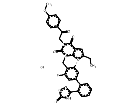 CCc1cc2c(=O)n(CC(=O)c3ccc(OC)cc3)c(=O)n(Cc3c(F)cc(-c4ccccc4-c4noc(=O)[nH]4)cc3F)c2s1.[KH]